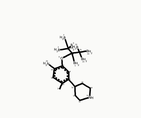 BC(B)(B)C(B)(Oc1cc(C2CCNCC2)c(C)cc1N)C(B)(B)B